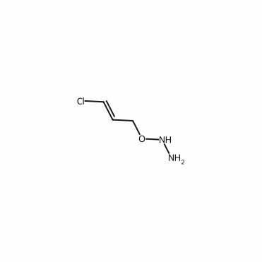 NNOC/C=C/Cl